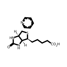 O=C(O)CCCC[C@@H]1SC[C@@H]2NC(=O)N[C@@H]21.c1ccncc1